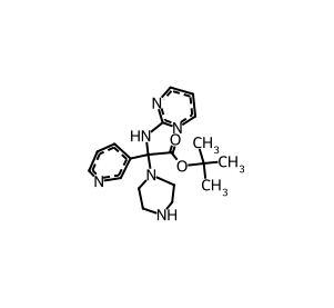 CC(C)(C)OC(=O)C(Nc1ncccn1)(c1cccnc1)N1CCNCC1